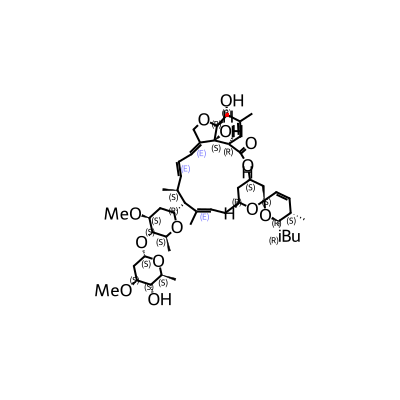 CC[C@@H](C)[C@H]1O[C@]2(C=C[C@@H]1C)C[C@@H]1C[C@@H](C/C=C(\C)C([C@H]3C[C@H](OC)[C@@H](O[C@H]4C[C@H](OC)[C@@H](O)[C@H](C)O4)[C@H](C)O3)[C@@H](C)/C=C/C=C3\CO[C@@H]4[C@H](O)C(C)=C[C@@H](C(=O)O1)[C@]34O)O2